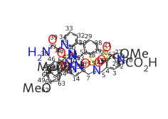 COc1ccc(CN(Cc2ccc(OC)cc2)S(=O)(=O)c2c(S(=O)(=O)C3CN(C(=O)O)C3)ccc(-c3cccn(CC(N)=O)c3=NS(=O)(=O)c3ccc(C)cc3)c2-c2nnn(Cc3ccc(OC)cc3)n2)cc1